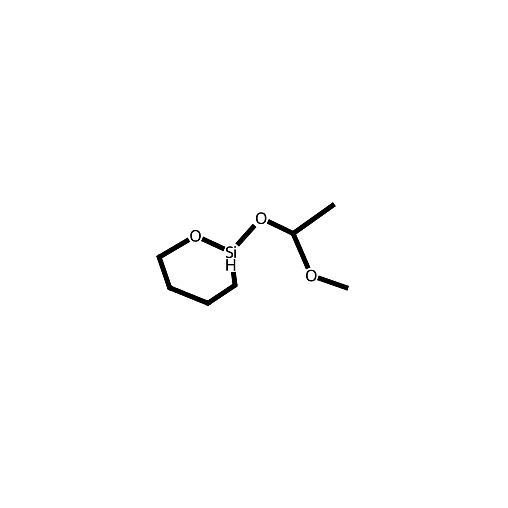 COC(C)O[SiH]1CCCCO1